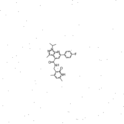 Cc1cc(C)c(CNC(=O)c2cc(-c3ccc(F)cc3)nc3c2c(C)nn3C(C)C)c(=O)[nH]1